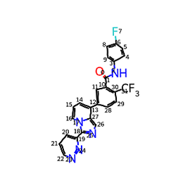 O=C(Nc1ccc(F)cc1)c1cc(-c2cccn3c(-c4cccnn4)ncc23)ccc1C(F)(F)F